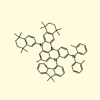 Cc1cc2c3c(c1)N(c1cccc4c1-c1ccccc1C4(C)C)c1cc(N(c4ccccc4C)c4ccccc4C)ccc1B3c1cc3c(cc1N2c1ccc2c(c1)C(C)(C)CCC2(C)C)C(C)(C)CCC3(C)C